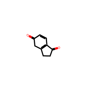 O=C1C=CC2=C(CCC2=O)C1